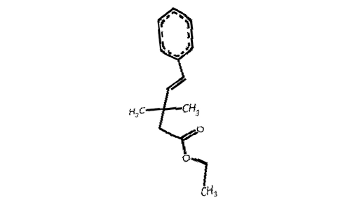 CCOC(=O)CC(C)(C)C=Cc1ccccc1